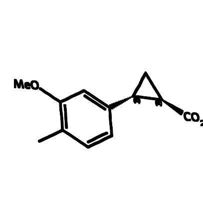 COc1cc([C@@H]2C[C@H]2C(=O)O)ccc1C